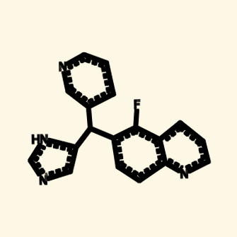 Fc1c(C(c2cccnc2)c2cnc[nH]2)ccc2ncccc12